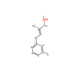 Cc1cccc(C/C=C(\F)CO)c1